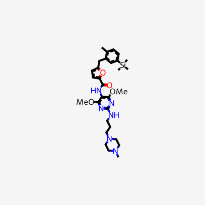 COc1nc(NCCCN2CCN(C)CC2)nc(OC)c1NC(=O)c1ccc(Cc2cc([Si](C)(C)C)ccc2C)o1